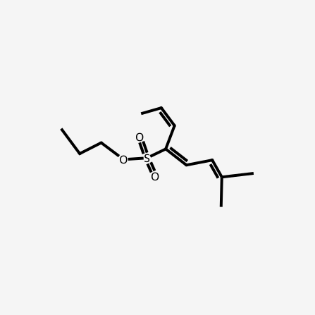 C/C=C\C(=C/C=C(C)C)S(=O)(=O)OCCC